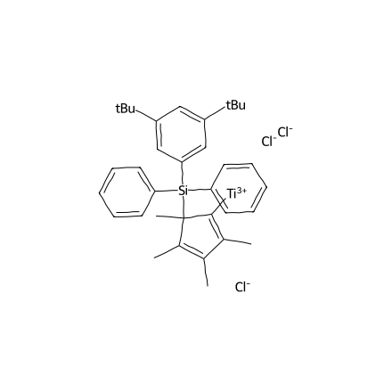 CC1=C(C)C(C)([Si](c2ccccc2)(c2ccccc2)c2cc(C(C)(C)C)cc(C(C)(C)C)c2)[C]([Ti+3])=C1C.[Cl-].[Cl-].[Cl-]